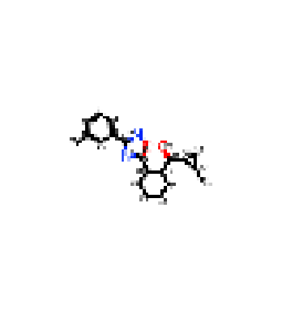 Cc1cccc(-c2noc(C3CCCCC3C(=O)C3CC3C)n2)c1